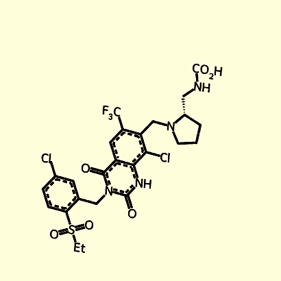 CCS(=O)(=O)c1ccc(Cl)cc1Cn1c(=O)[nH]c2c(Cl)c(CN3CCC[C@H]3CNC(=O)O)c(C(F)(F)F)cc2c1=O